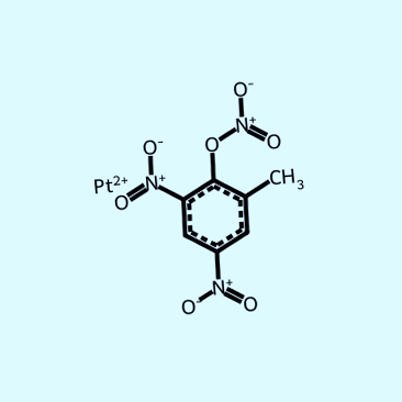 Cc1cc([N+](=O)[O-])cc([N+](=O)[O-])c1O[N+](=O)[O-].[Pt+2]